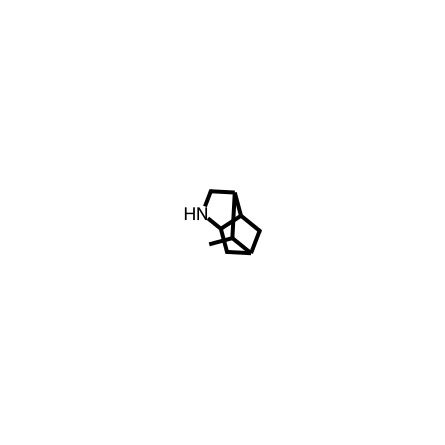 CC1C2CC3NCC1C3C2